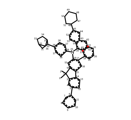 CC1(C)c2cc(-c3ccccc3)ccc2-c2cc(-c3ccccc3)c(N(c3ccc(C4CC5CCC4C5)cc3)c3cccc4cc(C5CCCCC5)ccc34)cc21